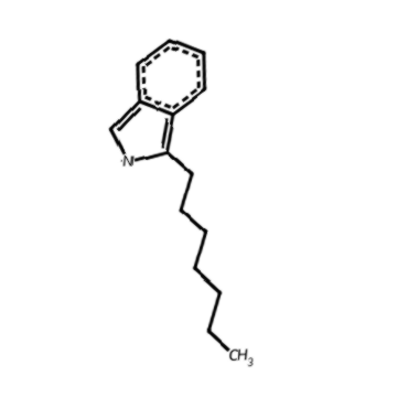 CCCCCCCC1=c2ccccc2=C[N]1